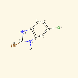 CN1c2cc(Cl)ccc2NC1S